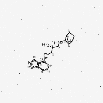 OC(CNC1CC2CCC1C2)COc1cccc2sncc12